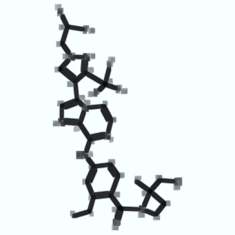 CCc1cc(Nc2nccn3c(-c4cn(CC(F)F)nc4C(F)(F)F)cnc23)ccc1C(=O)N1CCC1(C)CCl